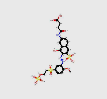 COc1ccc(S(=O)(=O)CCOS(=O)(=O)O)cc1/N=N/c1c(S(=O)(=O)O)cc2ccc(NC(=O)CCC(=O)O)cc2c1O